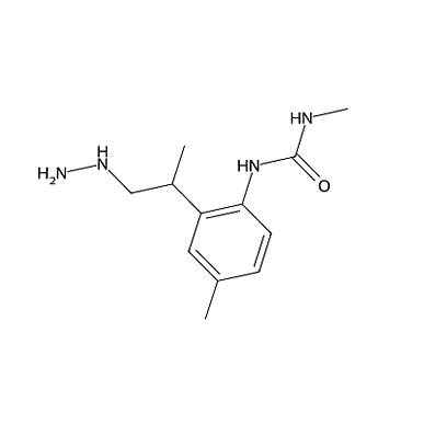 CNC(=O)Nc1ccc(C)cc1C(C)CNN